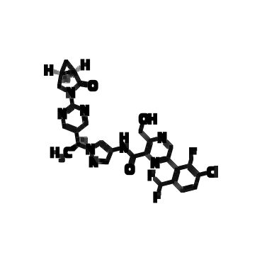 C[C@@H](c1cnc(N2C[C@H]3C[C@H]3C2=O)nc1)n1cc(NC(=O)c2nc(-c3c(C(F)F)ccc(Cl)c3F)cnc2CO)cn1